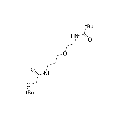 CC(C)(C)OCC(=O)NCCCOCCNC(=O)C(C)(C)C